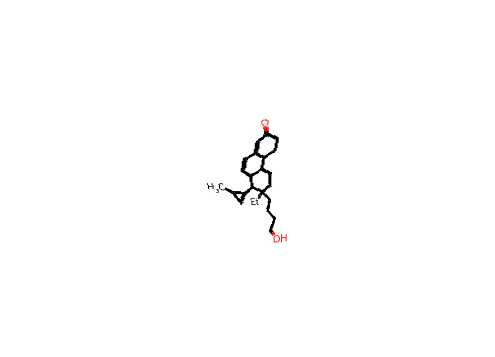 CCC1(CCCCO)CCC2C3CCC(=O)C=C3C=CC2C1C1CC1C